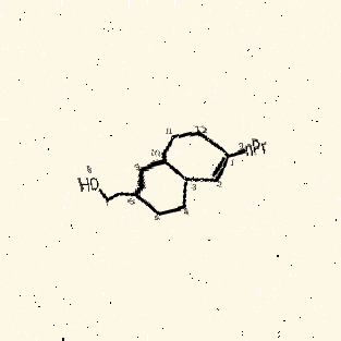 CCCC1=CC2CCC(CO)CC2CC1